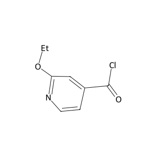 CCOc1cc(C(=O)Cl)ccn1